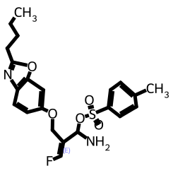 CCCCc1nc2ccc(OC/C(=C\F)C(N)OS(=O)(=O)c3ccc(C)cc3)cc2o1